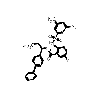 O=C(O)CC(NC(=O)c1cc(Cl)ccc1NS(=O)(=O)c1cc(C(F)(F)F)cc(C(F)(F)F)c1)c1ccc(-c2ccccc2)cc1